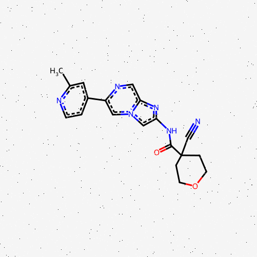 Cc1cc(-c2cn3cc(NC(=O)C4(C#N)CCOCC4)nc3cn2)ccn1